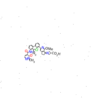 COc1nc(-c2cccc(-c3cccc(NC(=O)c4ccnn(C)c4=O)c3C)c2Cl)cc2c1[C@@H](N1CC(C(=O)O)C1)CC2